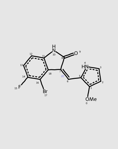 COc1cc[nH]c1/C=C1\C(=O)Nc2ccc(F)c(Br)c21